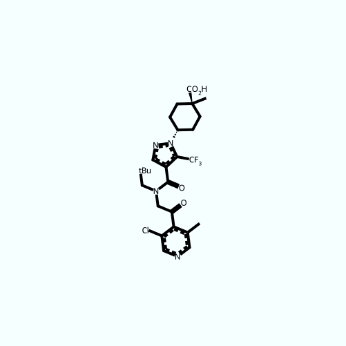 Cc1cncc(Cl)c1C(=O)CN(CC(C)(C)C)C(=O)c1cnn([C@H]2CC[C@](C)(C(=O)O)CC2)c1C(F)(F)F